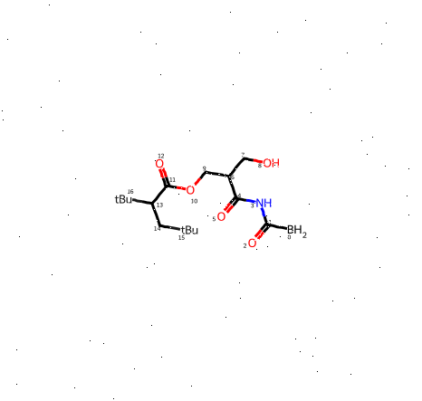 BC(=O)NC(=O)C(CO)COC(=O)C(CC(C)(C)C)C(C)(C)C